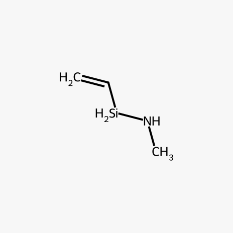 C=C[SiH2]NC